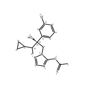 CC(=S)Oc1ncnn1C[C@@](O)(c1cccc(Cl)c1)C(C)C1CC1